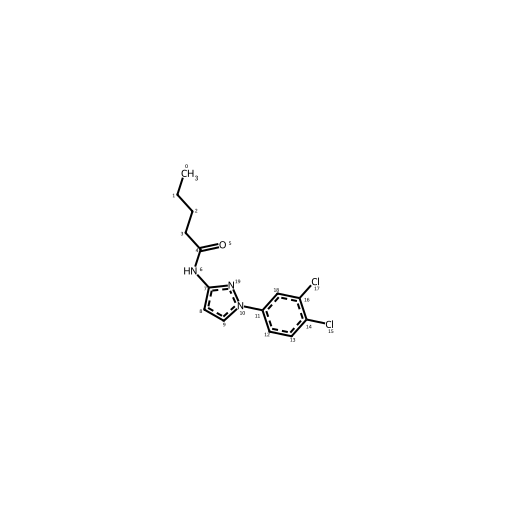 CCCCC(=O)Nc1ccn(-c2ccc(Cl)c(Cl)c2)n1